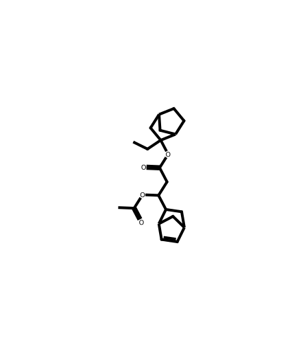 CCC1(OC(=O)CC(OC(C)=O)C2CC3C=CC2C3)CC2CCC1C2